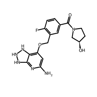 Nc1cc(OCc2cc(C(=O)N3CC[C@@H](O)C3)ccc2F)c2c(n1)NNN2